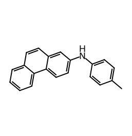 Cc1ccc(Nc2ccc3c(ccc4ccccc43)c2)cc1